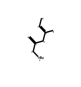 C=C(CCCCC)CC(C)=CC